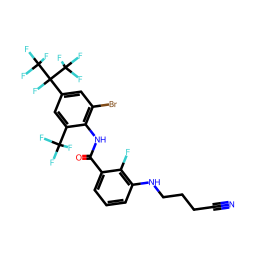 N#CCCCNc1cccc(C(=O)Nc2c(Br)cc(C(F)(C(F)(F)F)C(F)(F)F)cc2C(F)(F)F)c1F